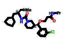 CNC[C@H](CC1CCCCC1)NC(=O)N1CCC[C@@H](C(OCCC(=O)NC(C)C)c2cccc(Cl)c2)C1